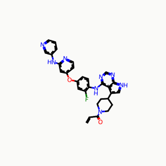 C=CC(=O)N1CCC(c2c[nH]c3ncnc(Nc4ccc(Oc5ccnc(Nc6cccnc6)c5)cc4F)c23)CC1